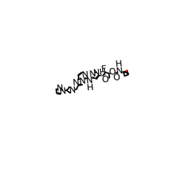 O=C(NC12CC(C1)C2)O[C@H]1CO[C@@H](c2cc(Nc3nccc4nc(CN5CC(n6cccn6)C5)cn34)n[nH]2)[C@H]1F